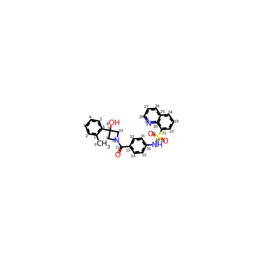 Cc1ccccc1C1(O)CN(C(=O)c2ccc(NS(=O)(=O)c3cccc4cccnc34)cc2)C1